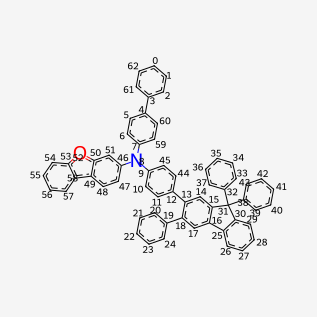 c1ccc(-c2ccc(N(c3ccc(-c4cc5c(cc4-c4ccccc4)-c4ccccc4C5(c4ccccc4)c4ccccc4)cc3)c3ccc4c(c3)oc3ccccc34)cc2)cc1